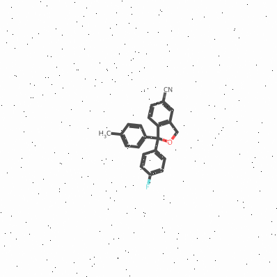 Cc1ccc(C2(c3ccc(F)cc3)OCc3cc(C#N)ccc32)cc1